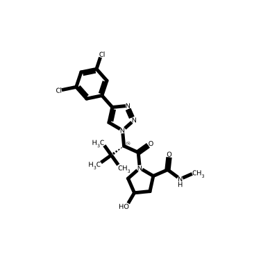 CNC(=O)C1CC(O)CN1C(=O)[C@@H](n1cc(-c2cc(Cl)cc(Cl)c2)nn1)C(C)(C)C